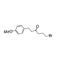 COc1ccc(CCC(=O)CCCBr)cc1